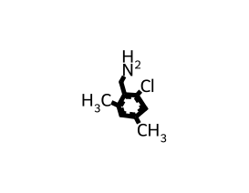 Cc1cc(C)c(CN)c(Cl)c1